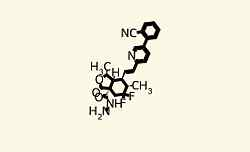 C[C@H]1OC(=O)[C@]2(C(=O)NN)CC(F)(F)[C@@H](C)[C@H](/C=C/c3ccc(-c4ccccc4C#N)cn3)[C@H]12